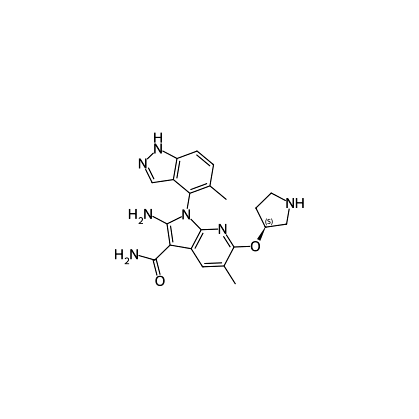 Cc1cc2c(C(N)=O)c(N)n(-c3c(C)ccc4[nH]ncc34)c2nc1O[C@H]1CCNC1